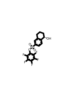 O=S(=O)(Oc1c(F)c(F)c(F)c(F)c1F)c1ccc2c(c1)CCC[C@@H]2O